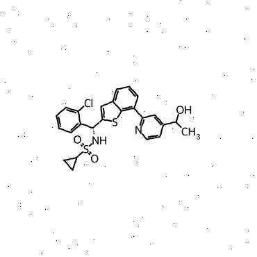 CC(O)c1ccnc(-c2cccc3cc([C@H](NS(=O)(=O)C4CC4)c4ccccc4Cl)sc23)c1